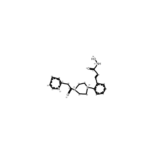 O=C(C=Cc1ccccc1N1CCN(C(=O)Cc2ccccn2)CC1)NO